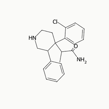 CC(C(N)=O)C1(c2ccccc2Cl)CCNCC1c1ccccc1